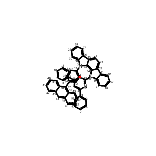 c1ccc(-c2cc(-c3ccccc3)nc(-n3c4ccccc4c4ccc5c6ccccc6n(-c6ccc(-c7c8ccccc8cc8ccccc78)cc6)c5c43)n2)cc1